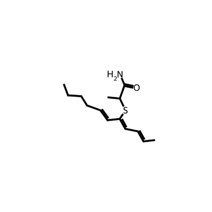 CC=CC=C(C=CCCCC)SC(C)C(N)=O